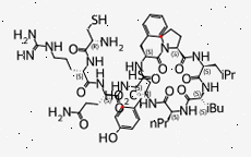 CCC[C@H](NC(=O)[C@@H](NC(=O)[C@H](CC(C)C)NC(=O)[C@@H]1CCCN1C(=O)[C@H](Cc1ccccc1)NC(=O)[C@H](Cc1ccc(O)cc1)NC(=O)[C@H](CCC(N)=O)NC(=O)[C@H](CCCNC(=N)N)NC(=O)[C@@H](N)CS)[C@@H](C)CC)C(=O)N[C@@H](CS)C(=O)O